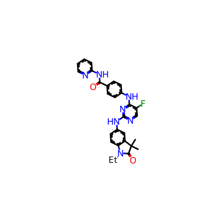 CCN1C(=O)C(C)(C)c2cc(Nc3ncc(F)c(Nc4ccc(C(=O)Nc5ccccn5)cc4)n3)ccc21